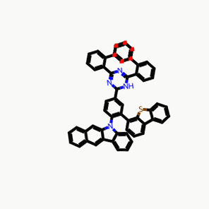 c1ccc(-c2ccccc2C2=NC(c3ccc(-n4c5ccccc5c5cc6ccccc6cc54)c(-c4cccc5c4sc4ccccc45)c3)NC(c3ccccc3-c3ccccc3)=N2)cc1